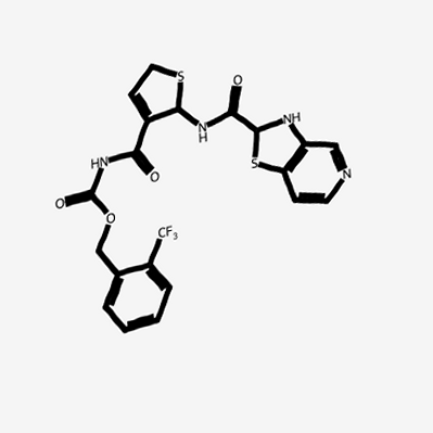 O=C(NC(=O)C1=CCSC1NC(=O)C1Nc2cnccc2S1)OCc1ccccc1C(F)(F)F